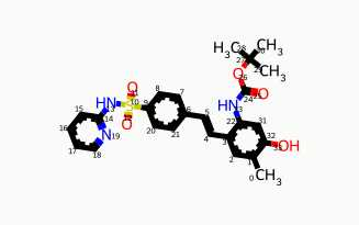 Cc1cc(/C=C/c2ccc(S(=O)(=O)Nc3ccccn3)cc2)c(NC(=O)OC(C)(C)C)cc1O